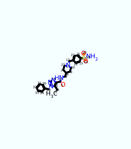 CCc1c(C(=O)NCC2CCN(Cc3ccc(S(N)(=O)=O)cc3)CC2)nnn1Cc1ccccc1